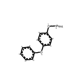 CCCCCOc1ccc(Oc2ccccc2)cc1